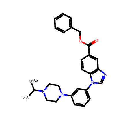 COC(C)N1CCN(c2cccc(-n3cnc4cc(C(=O)OCc5ccccc5)ccc43)c2)CC1